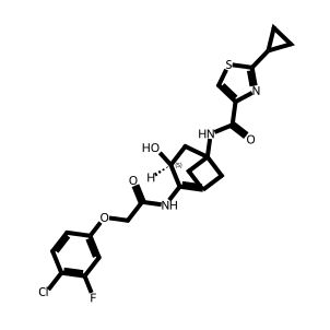 O=C(COc1ccc(Cl)c(F)c1)NC1=C2CC(NC(=O)c3csc(C4CC4)n3)(C2)C[C@@H]1O